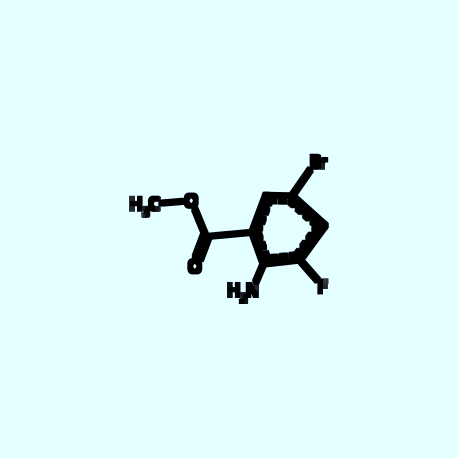 COC(=O)c1cc(Br)cc(F)c1N